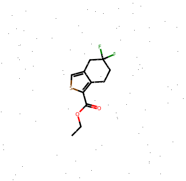 CCOC(=O)c1scc2c1CCC(F)(F)C2